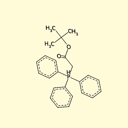 CC(C)(C)OC(=O)C[PH](c1ccccc1)(c1ccccc1)c1ccccc1